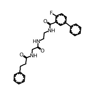 O=C(CCc1ccccc1)NCC(=O)NCCNC(=O)c1cc(-c2ccccc2)ccc1F